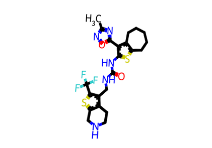 Cc1noc(-c2c(NC(=O)NCc3c(C(F)(F)F)sc4c3CCNC4)sc3c2CCCCC3)n1